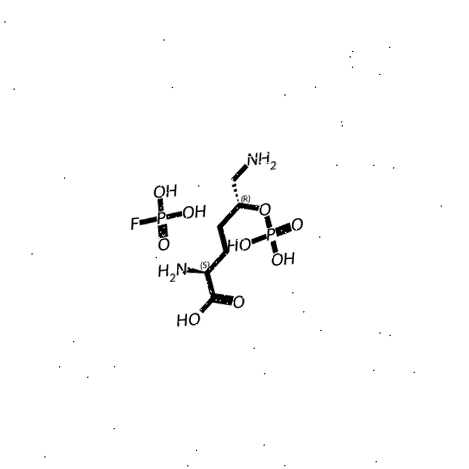 NC[C@@H](CC[C@H](N)C(=O)O)OP(=O)(O)O.O=P(O)(O)F